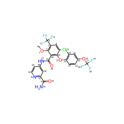 COc1c(C(F)(F)F)ccc(Oc2ccc(OC(F)(F)F)cc2Cl)c1C(=O)Nc1ccnc(C(N)=O)c1